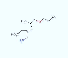 CC(COCCC(F)(F)F)C[C@H](CN)CC(=O)O